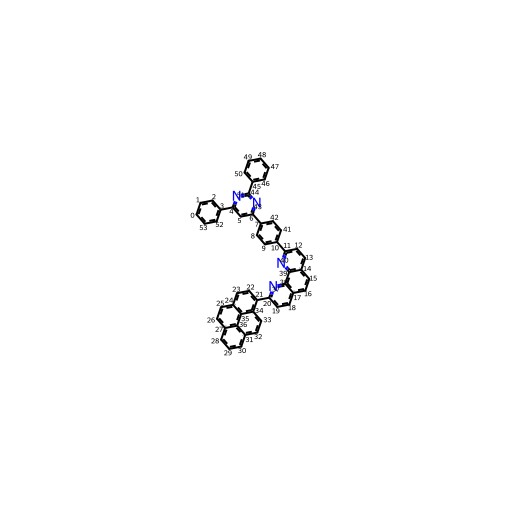 c1ccc(-c2cc(-c3ccc(-c4ccc5ccc6ccc(-c7ccc8ccc9cccc%10ccc7c8c9%10)nc6c5n4)cc3)nc(-c3ccccc3)n2)cc1